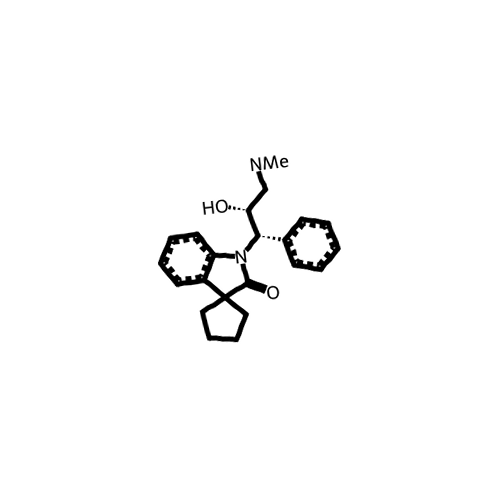 CNC[C@@H](O)[C@H](c1ccccc1)N1C(=O)C2(CCCC2)c2ccccc21